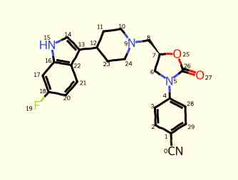 N#Cc1ccc(N2C[C@@H](CN3CCC(c4c[nH]c5cc(F)ccc45)CC3)OC2=O)cc1